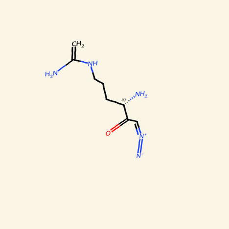 C=C(N)NCCC[C@H](N)C(=O)C=[N+]=[N-]